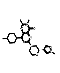 Cc1nc2c(C3CCC(C)CC3)nc(N3CCO[C@@H](c4cnn(C)c4)C3)nc2c(=O)n1C